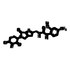 Cc1ccc(NC(=O)NCc2cc3c(s2)C(=O)N(C2CCC(=O)NC2=O)C3)c(O)c1